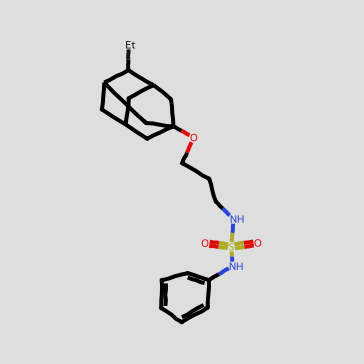 CCC1C2CC3CC1CC(OCCCNS(=O)(=O)Nc1ccccc1)(C3)C2